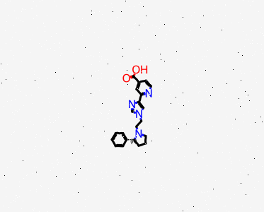 O=C(O)c1ccnc(-c2cn(CCN3CCC[C@@H]3c3ccccc3)cn2)c1